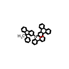 CC1(c2ccccc2)c2ccccc2-c2ccc(N(c3ccc4c5ccccc5c5ccccc5c4c3)c3ccccc3-c3ccccc3)cc21